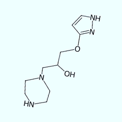 OC(COc1cc[nH]n1)CN1CCNCC1